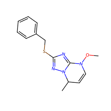 CON1C=CC(C)n2nc(SCc3ccccc3)nc21